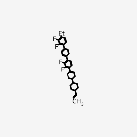 C/C=C/C1CCC(C2CC=C(c3ccc(-c4ccc(-c5ccc(CC)c(F)c5F)cc4)c(F)c3F)CC2)CC1